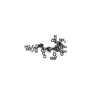 CCCC[C@H](NC(=O)[C@H](Cc1c[nH]c2ccccc12)NC(=O)[C@H](C)N)C(=O)N[C@@H](Cc1c[nH]c2ccccc12)C(=O)N[C@H](Cc1ccc(OC(C)(C)C)cc1)C(=O)N(C)CC(=O)N(C)[C@@H](C)C(=O)N(C)[C@@H](Cc1cccc(Cl)c1)C(=O)N(C)CC(=O)N(CCC)CC(=O)N[C@@H](CC(=O)O)C(=O)O